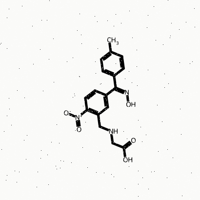 Cc1ccc(C(=NO)c2ccc([N+](=O)[O-])c(CNCC(=O)O)c2)cc1